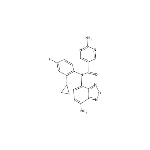 Nc1ncc(C(=O)N(c2ccc(F)cc2C2CC2)c2ccc([N+](=O)[O-])c3nonc23)cn1